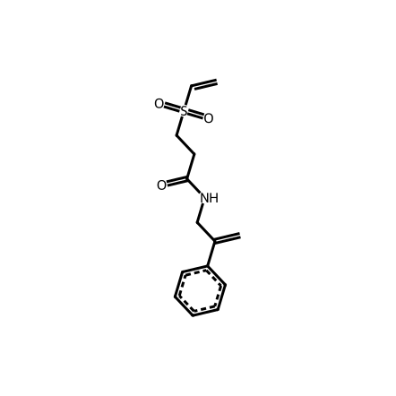 C=CS(=O)(=O)CCC(=O)NCC(=C)c1ccccc1